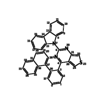 c1ccc(-c2nc(-n3c4ccccc4c4ccccc43)nc3cscc23)c(-c2cccc3ccccc23)c1